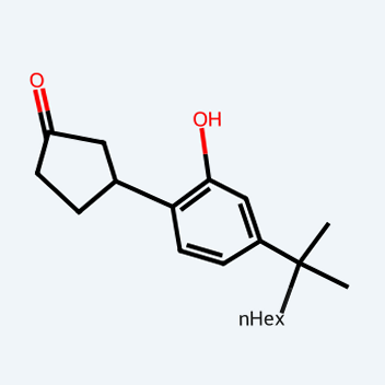 CCCCCCC(C)(C)c1ccc(C2CCC(=O)C2)c(O)c1